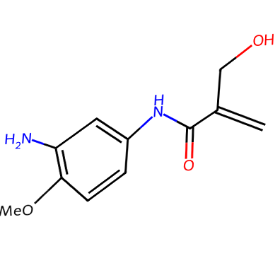 C=C(CO)C(=O)Nc1ccc(OC)c(N)c1